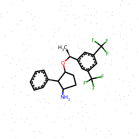 C[C@H](OC1CCC(N)C1c1ccccc1)c1cc(C(F)(F)F)cc(C(F)(F)F)c1